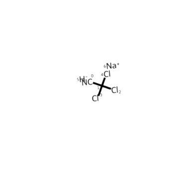 N#CC(Cl)(Cl)Cl.[H-].[Na+]